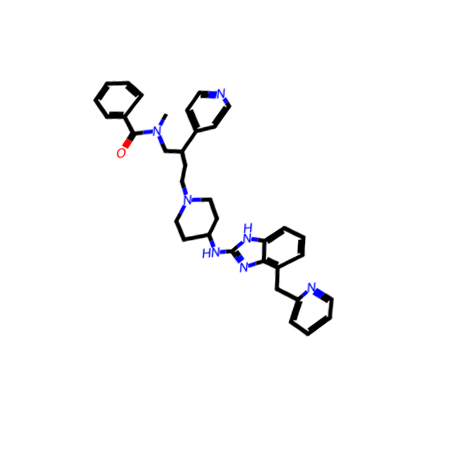 CN(CC(CCN1CCC(Nc2nc3c(Cc4ccccn4)cccc3[nH]2)CC1)c1ccncc1)C(=O)c1ccccc1